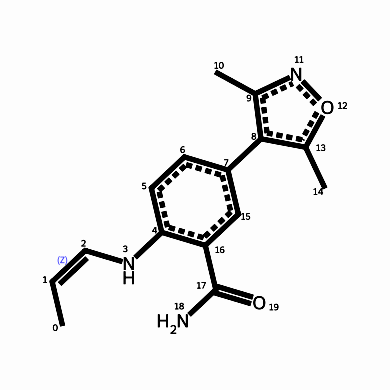 C/C=C\Nc1ccc(-c2c(C)noc2C)cc1C(N)=O